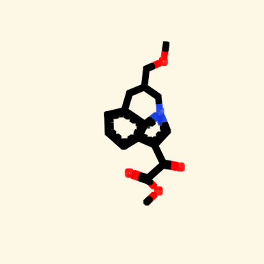 COCC1Cc2cccc3c(C(=O)C(=O)OC)cn(c23)C1